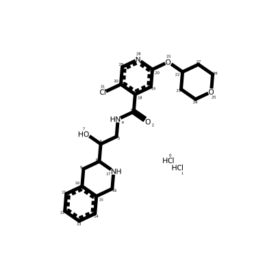 Cl.Cl.O=C(NCC(O)C1Cc2ccccc2CN1)c1cc(OC2CCOCC2)ncc1Cl